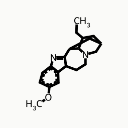 CCC1CC2CC3C4=Nc5ccc(OC)cc5C4CCN(C2)C13